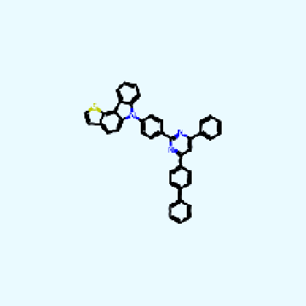 c1ccc(-c2ccc(-c3cc(-c4ccccc4)nc(-c4ccc(-n5c6ccccc6c6c7sccc7ccc65)cc4)n3)cc2)cc1